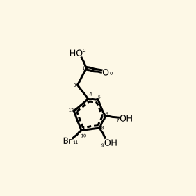 O=C(O)Cc1cc(O)c(O)c(Br)c1